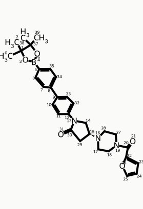 CC1(C)OB(c2ccc(-c3ccc(N4C[C@H](N5CCN(C(=O)c6ccco6)CC5)CC4=O)cc3)cc2)OC1(C)C